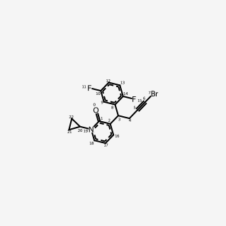 O=c1c(C(CC#CBr)c2cc(F)ccc2F)cccn1C1CC1